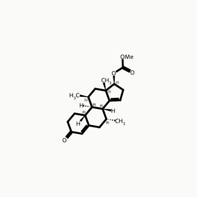 COC(=O)O[C@H]1CC=C2[C@H]3[C@H]([C@@H](C)C[C@@]21C)[C@H]1CCC(=O)C=C1C[C@H]3C